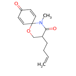 C=CCCC1COC2(C=CC(=O)C=C2)N(C)C1=O